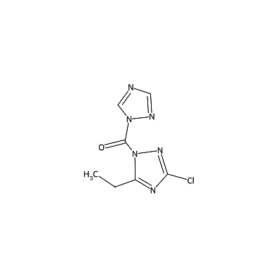 CCc1nc(Cl)nn1C(=O)n1cncn1